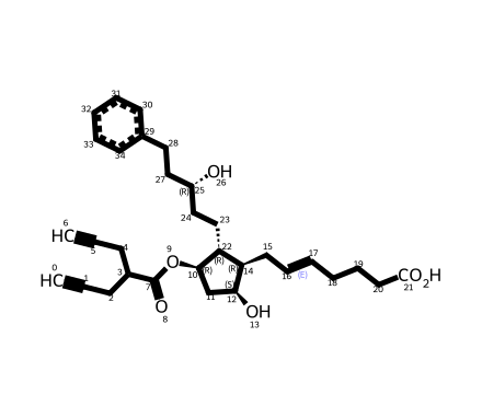 C#CCC(CC#C)C(=O)O[C@@H]1C[C@H](O)[C@H](C/C=C/CCCC(=O)O)[C@H]1CC[C@@H](O)CCc1ccccc1